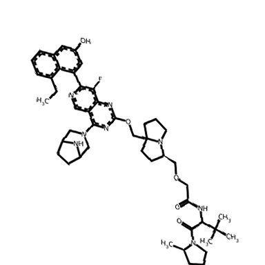 CCc1cccc2cc(O)cc(-c3ncc4c(N5CC6CCC(C5)N6)nc(OCC56CCCN5[C@@H](COCC(=O)NC(C(=O)N5CCCC5C)C(C)(C)C)CC6)nc4c3F)c12